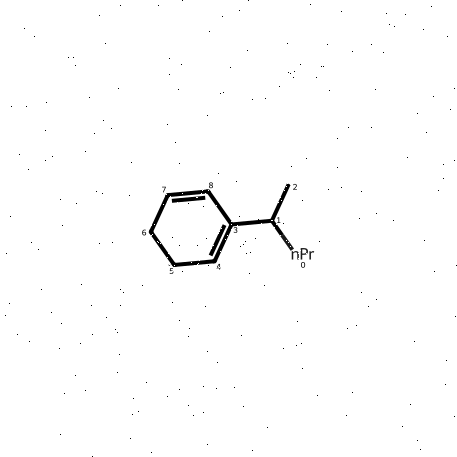 CCCC(C)C1=C[CH]CC=C1